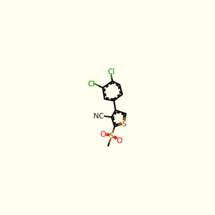 CS(=O)(=O)c1scc(-c2ccc(Cl)c(Cl)c2)c1C#N